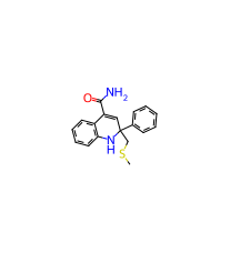 CSCC1(c2ccccc2)C=C(C(N)=O)c2ccccc2N1